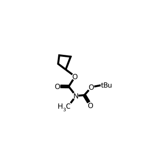 CN(C(=O)OC1CCC1)C(=O)OC(C)(C)C